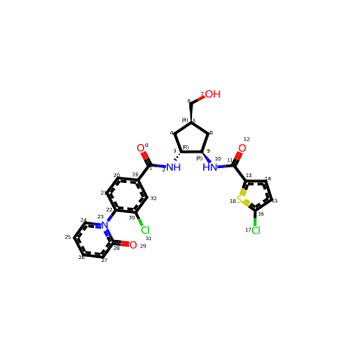 O=C(N[C@@H]1C[C@@H](CO)C[C@H]1NC(=O)c1ccc(Cl)s1)c1ccc(-n2ccccc2=O)c(Cl)c1